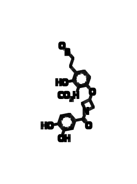 O=BCCc1ccc(OC2CN(C(=O)c3ccc(O)c(O)c3)C2)c(C(=O)O)c1O